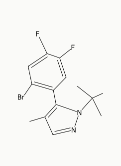 Cc1cnn(C(C)(C)C)c1-c1cc(F)c(F)cc1Br